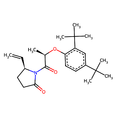 C=C[C@@H]1CCC(=O)N1C(=O)[C@@H](C)Oc1ccc(C(C)(C)C)cc1C(C)(C)C